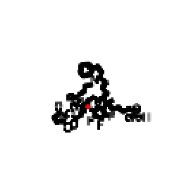 CC1(CCCCS(=O)(=O)O)C(=CC=Cc2ccc3ccccc3[n+]2CCCCS(=O)(=O)O)N(CCCCCC(=O)ON2C(=O)CCC2=O)c2c(F)c(F)c(F)c(F)c21